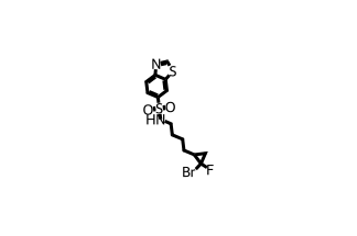 O=S(=O)(NCCCCC1CC1(F)Br)c1ccc2ncsc2c1